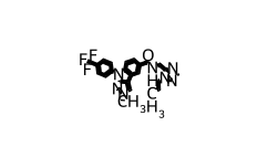 CCCn1ncnc1CNC(=O)c1ccc2c(c1)c1cn(C)nc1n2-c1ccc(C(F)(F)F)cc1